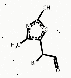 Cc1nc(C)c(C(Br)C=O)o1